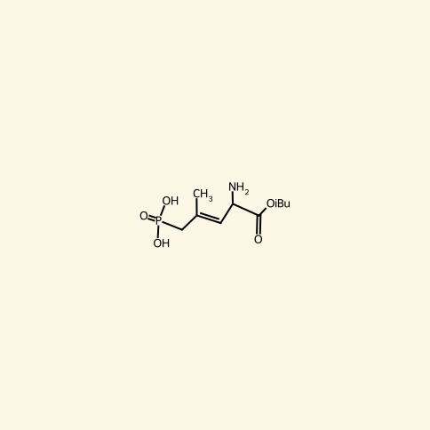 C/C(=C\C(N)C(=O)OCC(C)C)CP(=O)(O)O